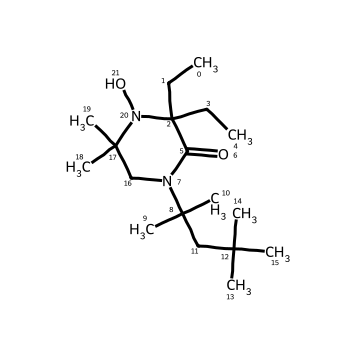 CCC1(CC)C(=O)N(C(C)(C)CC(C)(C)C)CC(C)(C)N1O